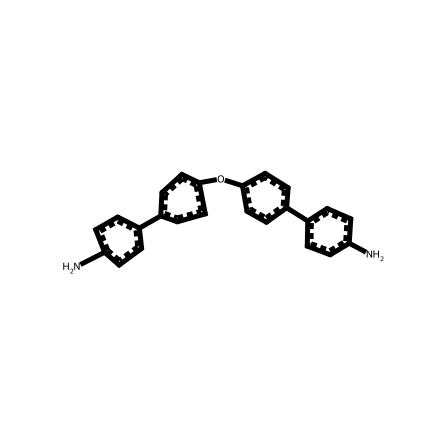 Nc1ccc(-c2ccc(Oc3ccc(-c4ccc(N)cc4)cc3)cc2)cc1